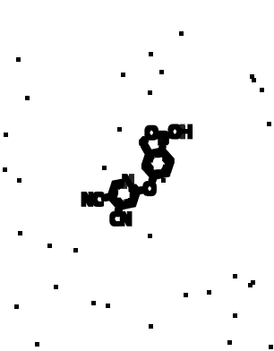 N#Cc1cnc(Oc2ccc3c(c2)COB3O)cc1C#N